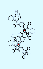 C[C@H]1CCCC[C@@H]1N1C(=O)c2cc3c(cc2C1=O)C(=O)C([C@H]1CCCC[C@@H]1N1C(=O)c2ccc4c5c(ccc(c25)C1=O)C(=O)N([C@H]1CCCC[C@@H]1n1c(=O)c2cc5c(=O)[nH]c(=O)c5cc2c1=O)C4=O)C3=O